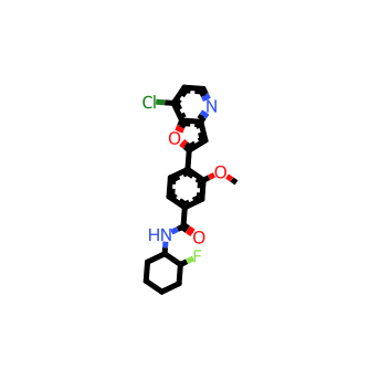 COc1cc(C(=O)NC2CCCCC2F)ccc1-c1cc2nccc(Cl)c2o1